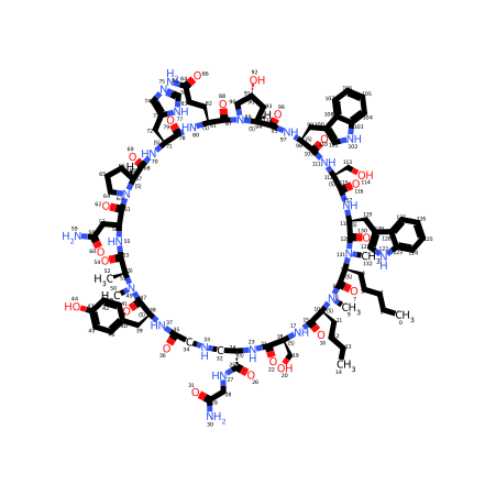 CCCCC[C@H]1C(=O)N(C)[C@@H](CCCC)C(=O)N[C@@H](CO)C(=O)N[C@H](C(=O)NCC(N)=O)CNCC(=O)N[C@@H](Cc2ccc(O)cc2)C(=O)N(C)[C@@H](C)C(=O)NC(CC(N)=O)C(=O)N2CCC[C@H]2C(=O)N[C@@H](Cc2cnc[nH]2)C(=O)N[C@@H](CCC(N)=O)C(=O)N2C[C@H](O)C[C@H]2C(=O)N[C@@H](Cc2c[nH]c3ccccc23)C(=O)N[C@@H](CO)C(=O)N[C@@H](Cc2c[nH]c3ccccc23)C(=O)N1C